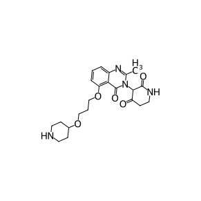 Cc1nc2cccc(OCCCOC3CCNCC3)c2c(=O)n1C1C(=O)CCNC1=O